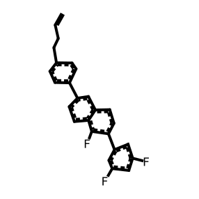 C=CCCc1ccc(-c2ccc3c(F)c(-c4cc(F)cc(F)c4)ccc3c2)cc1